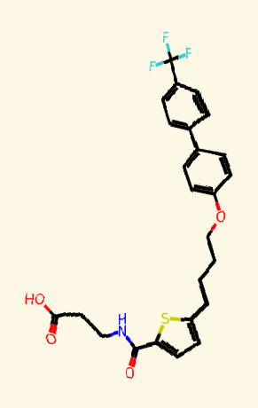 O=C(O)CCNC(=O)c1ccc(CCCCOc2ccc(-c3ccc(C(F)(F)F)cc3)cc2)s1